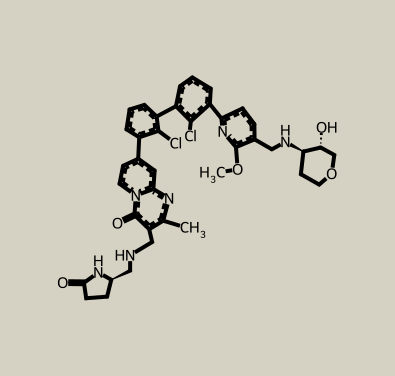 COc1nc(-c2cccc(-c3cccc(-c4ccn5c(=O)c(CNC[C@H]6CCC(=O)N6)c(C)nc5c4)c3Cl)c2Cl)ccc1CN[C@@H]1CCOC[C@H]1O